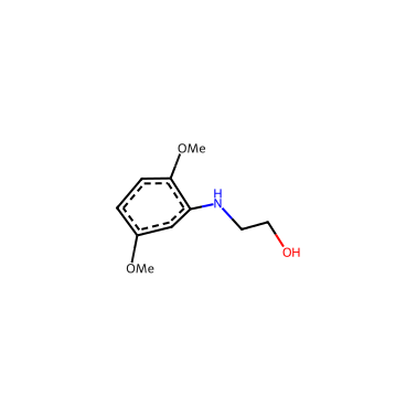 COc1ccc(OC)c(NCCO)c1